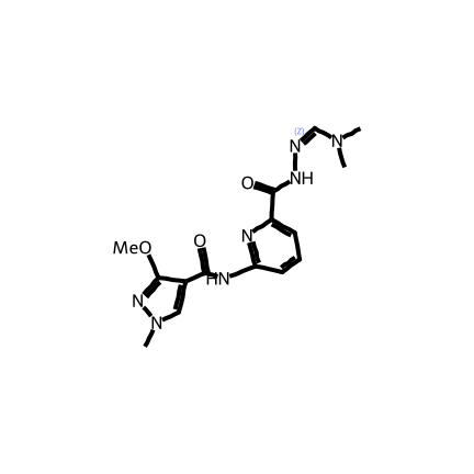 COc1nn(C)cc1C(=O)Nc1cccc(C(=O)N/N=C\N(C)C)n1